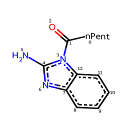 [CH2]CCCCC(=O)n1c(N)nc2ccccc21